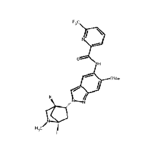 COc1cc2nn([C@@H]3C[C@H]4C[C@@H]3CN4C)cc2cc1NC(=O)c1cccc(C(F)(F)F)n1